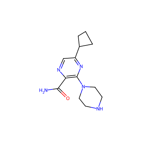 NC(=O)c1ncc(C2CCC2)nc1N1CCNCC1